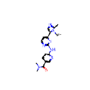 Cc1ncc(-c2ccnc(Nc3ccc(C(=O)N(C)C)cn3)n2)n1C(C)C